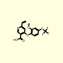 C=Cc1cc(Oc2ccc(OC(F)(F)F)cc2OC)c(C(=O)O)cn1